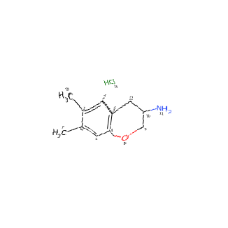 Cc1cc2c(cc1C)OCC(N)C2.Cl